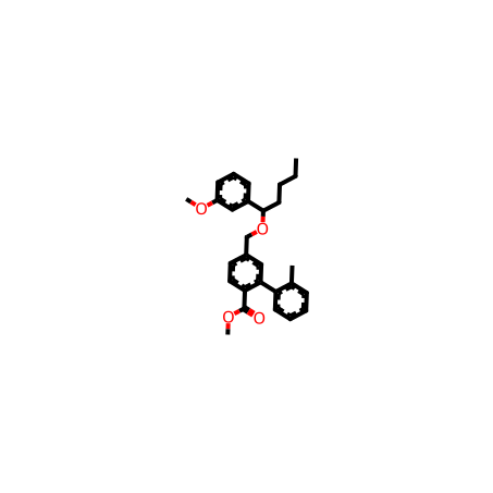 CCCCC(OCc1ccc(C(=O)OC)c(-c2ccccc2C)c1)c1cccc(OC)c1